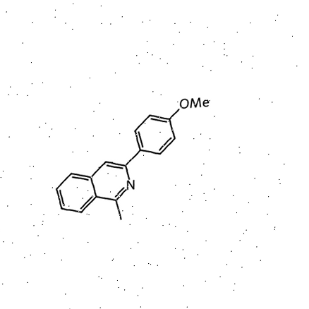 COc1ccc(-c2cc3ccccc3c(C)n2)cc1